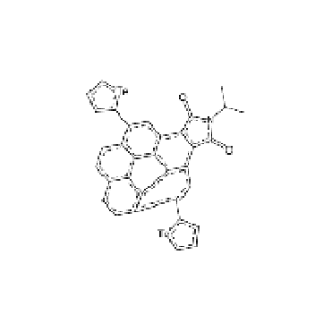 CC(C)n1c(=O)c2c3cc(-c4ccc[te]4)c4ccc5ccc6c(-c7ccc[te]7)cc(c2c1=O)c1c6c5c4c31